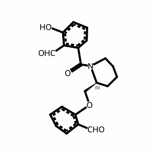 O=Cc1ccccc1OC[C@@H]1CCCCN1C(=O)c1cccc(O)c1C=O